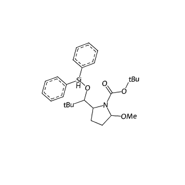 COC1CCC(C(O[SiH](c2ccccc2)c2ccccc2)C(C)(C)C)N1C(=O)OC(C)(C)C